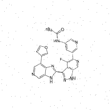 CCCCC(=O)Nc1cncc(-c2ncc3[nH]nc(-c4nc5c(-c6ccoc6)cncc5[nH]4)c3c2F)c1